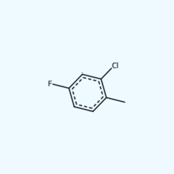 Cc1ccc(F)[c]c1Cl